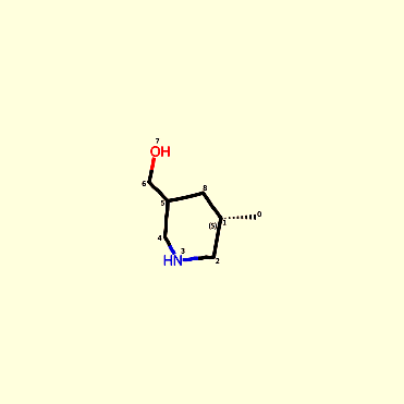 C[C@@H]1CNCC(CO)C1